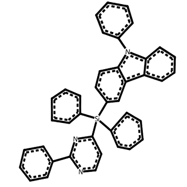 c1ccc(-c2nccc([Si](c3ccccc3)(c3ccccc3)c3ccc4c(c3)c3ccccc3n4-c3ccccc3)n2)cc1